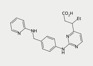 CCC(CC(=O)O)c1ccnc(Nc2ccc(CNc3ccccn3)cc2)n1